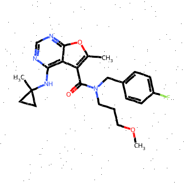 COCCCN(Cc1ccc(F)cc1)C(=O)c1c(C)oc2ncnc(NC3(C)CC3)c12